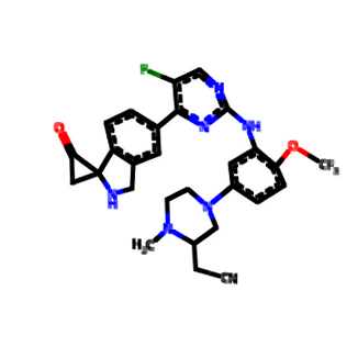 CN1CCN(c2ccc(OC(F)(F)F)c(Nc3ncc(F)c(-c4ccc5c(c4)CNC54CC4=O)n3)c2)CC1CC#N